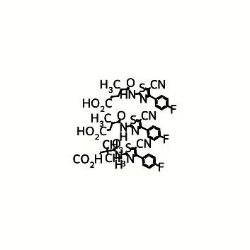 CC(C)(CC(=O)O)C(=O)Nc1nc(-c2ccc(F)cc2)c(C#N)s1.CC(CC(=O)O)C(=O)Nc1nc(-c2ccc(F)cc2)c(C#N)s1.C[C@@H](CCC(=O)O)C(=O)Nc1nc(-c2ccc(F)cc2)c(C#N)s1